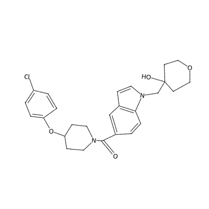 O=C(c1ccc2c(ccn2CC2(O)CCOCC2)c1)N1CCC(Oc2ccc(Cl)cc2)CC1